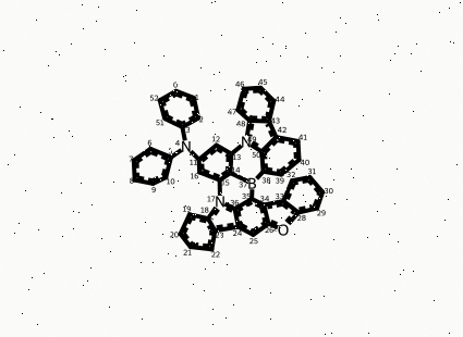 c1ccc(N(c2ccccc2)c2cc3c4c(c2)-n2c5ccccc5c5cc6oc7ccccc7c6c(c52)B4c2cccc4c5ccccc5n-3c24)cc1